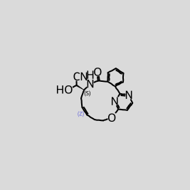 N#CC(O)[C@@H]1C/C=C\CCOc2ccnc(n2)-c2ccccc2C(=O)N1